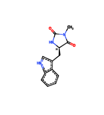 CN1C(=O)N[C@H](Cc2c[nH]c3ccccc23)C1=O